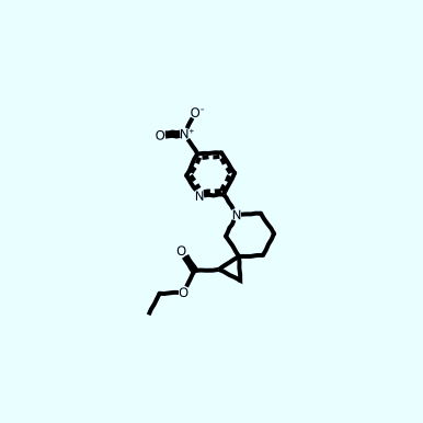 CCOC(=O)C1CC12CCCN(c1ccc([N+](=O)[O-])cn1)C2